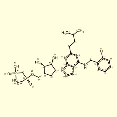 CC(C)CCc1nc(NCc2ccccc2Cl)c2nnn([C@@H]3C[C@H](COP(=O)(O)CP(=O)(O)O)[C@@H](O)[C@H]3O)c2n1